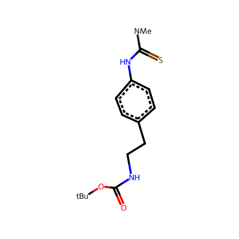 CNC(=S)Nc1ccc(CCNC(=O)OC(C)(C)C)cc1